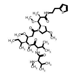 CCC(C)[C@@H]([C@H](CC(=O)N1C[C@H](OC)C[C@H]1[C@H](OC)[C@@H](C)C(=O)NCCc1cccs1)OC)N(C)C(=O)[C@@H](NC(=O)[C@@H](NC)C(C)C)C(C)C